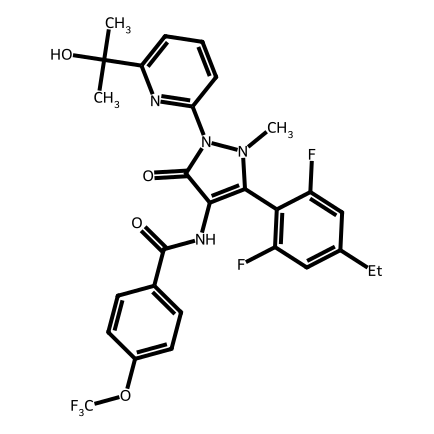 CCc1cc(F)c(-c2c(NC(=O)c3ccc(OC(F)(F)F)cc3)c(=O)n(-c3cccc(C(C)(C)O)n3)n2C)c(F)c1